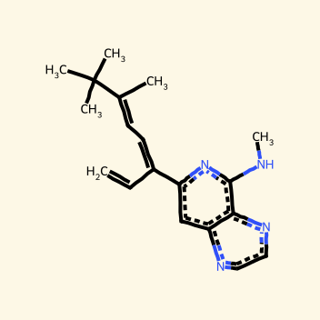 C=C/C(=C\C=C(/C)C(C)(C)C)c1cc2nccnc2c(NC)n1